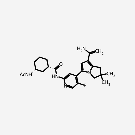 C=C(N)c1cc(-c2cc(NC(=O)[C@H]3CCC[C@@H](NC(C)=O)C3)ncc2F)n2c1CC(C)(C)C2